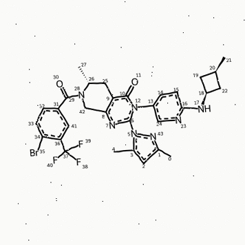 Cc1cc(C)n(-c2nc3c(c(=O)n2-c2ccc(N[C@H]4C[C@@H](C)C4)nc2)C[C@@H](C)N(C(=O)c2ccc(Br)c(C(F)(F)F)c2)C3)n1